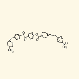 CC1CCN(Cc2ccc(C(=O)Nc3ccc(OC(=O)N4CCN(CCCc5ccc(C(=O)O)cn5)CC4)nc3)cc2)CC1